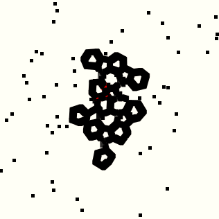 Cn1c(-n2c3ccccc3c3ccc4c5ccccc5n(-c5ccccc5)c4c32)nc2nc(-c3ccccc3)nc(-n3c4ccccc4c4ccc5c(c6ccccc6n5C5C=CC=CC5)c43)c21